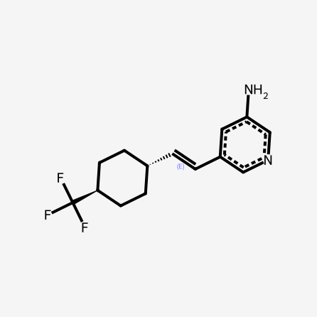 Nc1cncc(/C=C/[C@H]2CC[C@H](C(F)(F)F)CC2)c1